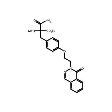 CCOC(=O)C(Cc1ccc(OCCn2ncc3ccccc3c2=O)cc1)(OC)C(N)=O